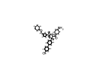 NC1CCN(C(=O)C(NS(=O)(=O)c2ccc(COC3CCCCC3)s2)C(F)(F)c2ccc(-c3ccc(Cl)cc3)cc2)CC1